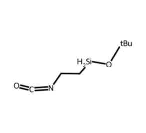 CC(C)(C)O[SiH2]CCN=C=O